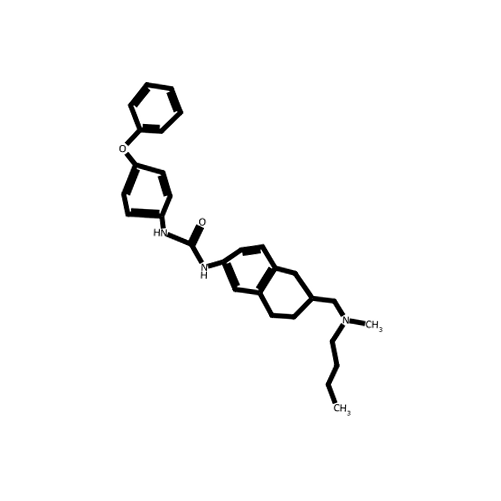 CCCCN(C)CC1CCc2cc(NC(=O)Nc3ccc(Oc4ccccc4)cc3)ccc2C1